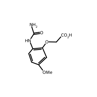 COc1ccc(NC(N)=O)c(OCC(=O)O)c1